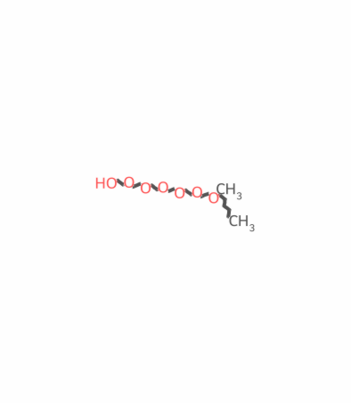 CCCCCC(C)OCCOCCOCCOCCOCCOCCO